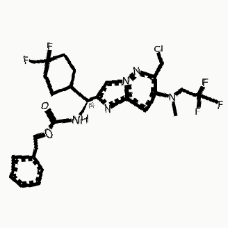 CN(CC(F)(F)F)c1cc2nc([C@@H](NC(=O)OCc3ccccc3)C3CCC(F)(F)CC3)cn2nc1CCl